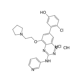 Cl.Cl.Oc1ccc(Cl)c(-c2cc(OCCN3CCCC3)c3nc(Nc4cccnc4)nnc3c2)c1